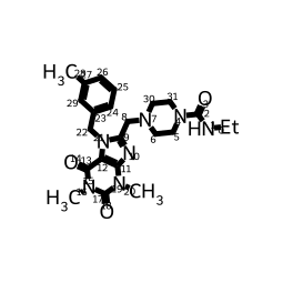 CCNC(=O)N1CCN(Cc2nc3c(c(=O)n(C)c(=O)n3C)n2Cc2cccc(C)c2)CC1